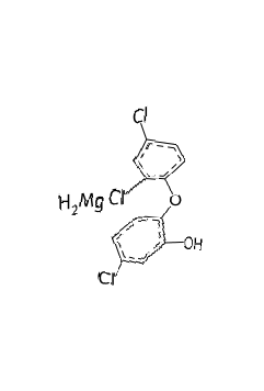 Oc1cc(Cl)ccc1Oc1ccc(Cl)cc1Cl.[MgH2]